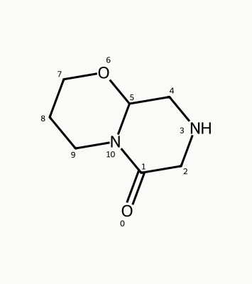 O=C1CNCC2OCCCN12